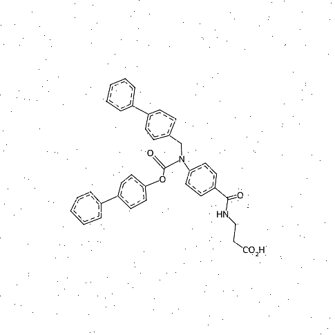 O=C(O)CCNC(=O)c1ccc(N(Cc2ccc(-c3ccccc3)cc2)C(=O)Oc2ccc(-c3ccccc3)cc2)cc1